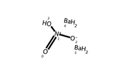 O=[N+]([O-])O.[BaH2].[BaH2]